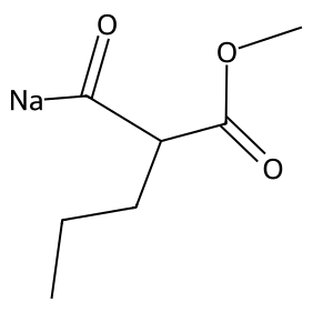 CCCC([C](=O)[Na])C(=O)OC